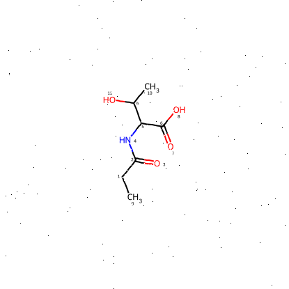 CCC(=O)NC(C(=O)O)C(C)O